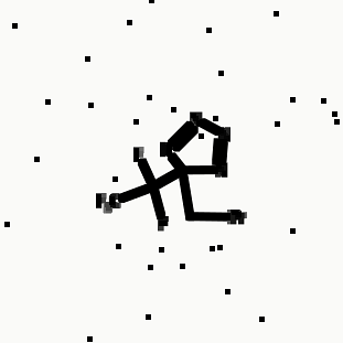 CC(C)CC1(C(F)(F)C(F)(F)F)N=NN=N1